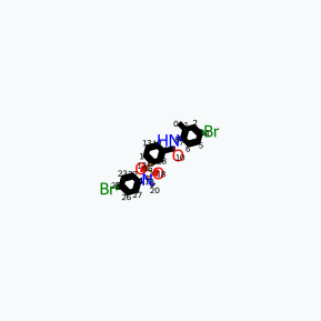 Cc1cc(Br)ccc1NC(=O)c1cccc(S(=O)(=O)N(C)c2ccc(Br)cc2)c1